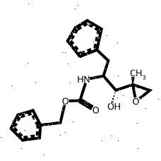 C[C@@]1([C@H](O)C(Cc2ccccc2)NC(=O)OCc2ccccc2)CO1